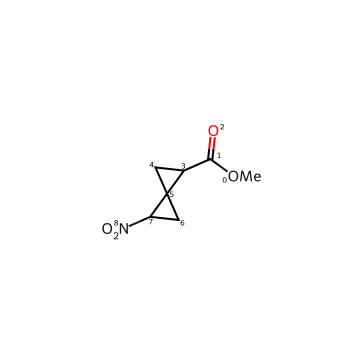 COC(=O)C1CC12CC2[N+](=O)[O-]